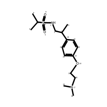 CC(CNS(=O)(=O)C(C)C)c1ccc(OCCN(C)C)cc1